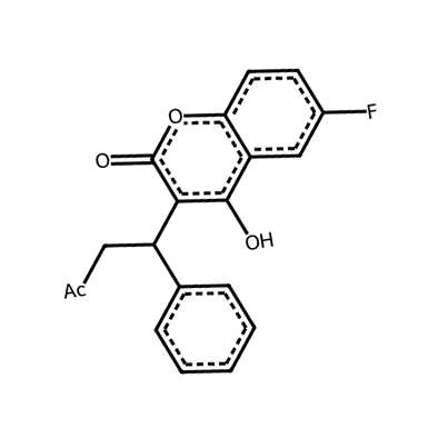 CC(=O)CC(c1ccccc1)c1c(O)c2cc(F)ccc2oc1=O